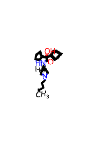 CCCCCN1CC2[C@H](C1)[C@H]2NC(=O)C(O)(c1ccccc1)C1CCCC1